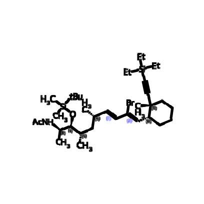 CC[Si](C#C[C@]1(C)CCCC[C@@H]1/C=C(Br)/C=C/[C@@H](C)C[C@H](C)[C@H](O[Si](C)(C)C(C)(C)C)[C@@H](C)NC(C)=O)(CC)CC